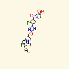 CC(C)(F)CN1CCC(COc2cnc(-c3ccc(C(=O)N4CCC[C@@H](O)C4)cc3F)cn2)CC1